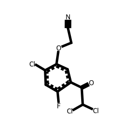 N#CCOc1cc(C(=O)C(Cl)Cl)c(F)cc1Cl